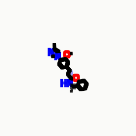 COc1cc(/C=C/C(=O)N[C@@H](C)c2ccccc2)ccc1-n1cnc(C)c1